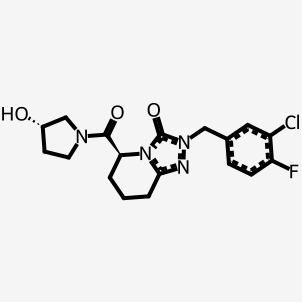 O=C([C@@H]1CCCc2nn(Cc3ccc(F)c(Cl)c3)c(=O)n21)N1CC[C@H](O)C1